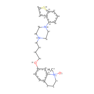 C[N+]1([O-])CCCc2ccc(OCCCCN3CCN(c4cccc5sccc45)CC3)cc21